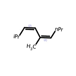 CCC/C=C(C)\C=C/C(C)C